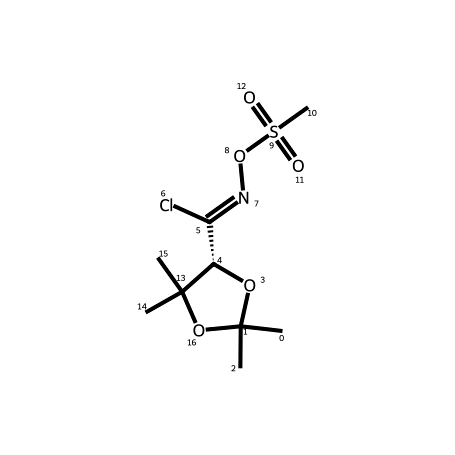 CC1(C)O[C@@H](C(Cl)=NOS(C)(=O)=O)C(C)(C)O1